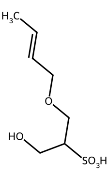 CC=CCOCC(CO)S(=O)(=O)O